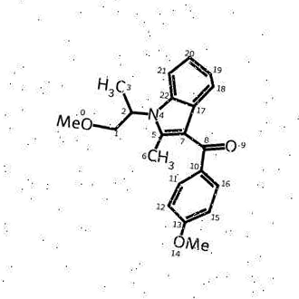 COCC(C)n1c(C)c(C(=O)c2ccc(OC)cc2)c2ccccc21